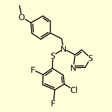 COc1ccc(CN(Sc2cc(Cl)c(F)cc2F)c2cscn2)cc1